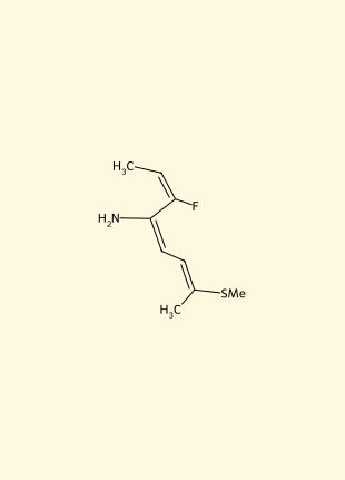 C\C=C(F)/C(N)=C\C=C(/C)SC